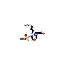 CCCCCCCCCCCCCC[N+]1(CC#CI)CCOCC1.CCCCS(=O)(=O)[O-]